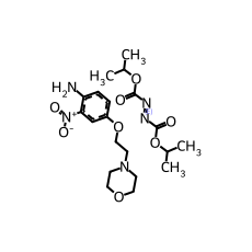 CC(C)OC(=O)/N=N/C(=O)OC(C)C.Nc1ccc(OCCN2CCOCC2)cc1[N+](=O)[O-]